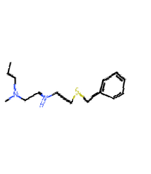 CCCN(C)CCNCCSCc1ccccc1